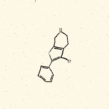 CCc1c(-c2ccccc2)sc2c1CCNC2